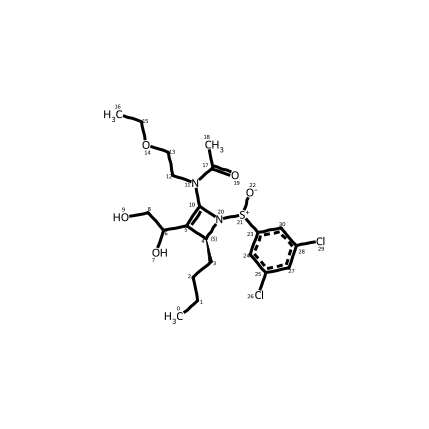 CCCC[C@H]1C(C(O)CO)=C(N(CCOCC)C(C)=O)N1[S+]([O-])c1cc(Cl)cc(Cl)c1